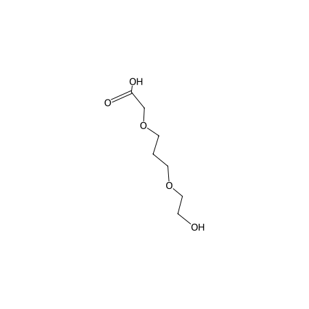 O=C(O)COCCCOCCO